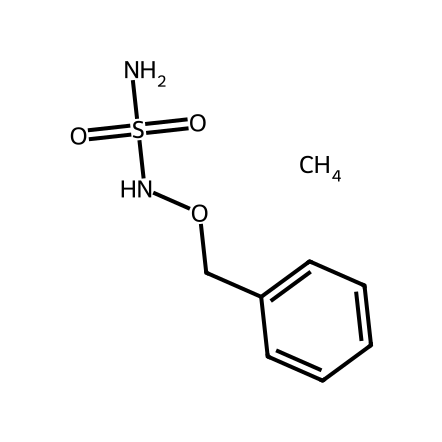 C.NS(=O)(=O)NOCc1ccccc1